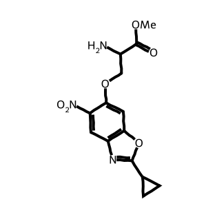 COC(=O)C(N)COc1cc2oc(C3CC3)nc2cc1[N+](=O)[O-]